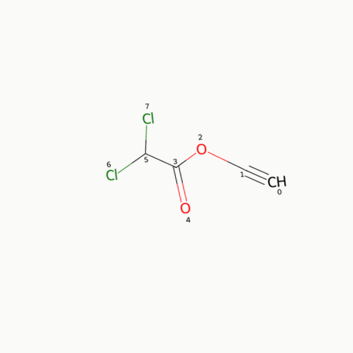 C#COC(=O)C(Cl)Cl